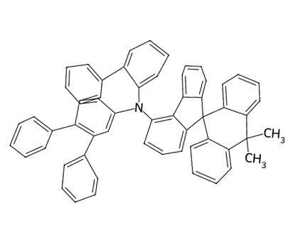 CC1(C)c2ccccc2C2(c3ccccc3-c3c(N(c4ccc(-c5ccccc5)c(-c5ccccc5)c4)c4ccccc4-c4ccccc4)cccc32)c2ccccc21